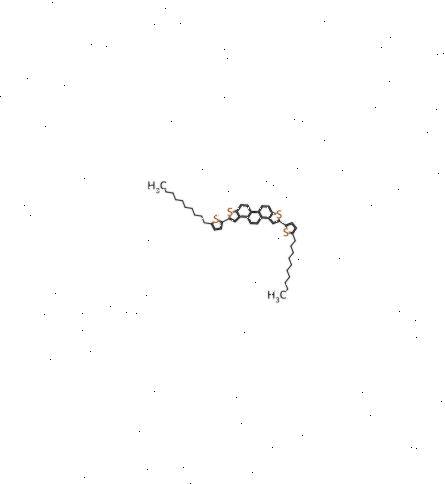 CCCCCCCCCCc1ccc(-c2cc3c(ccc4c3ccc3c5cc(-c6ccc(CCCCCCCCCC)s6)sc5ccc34)s2)s1